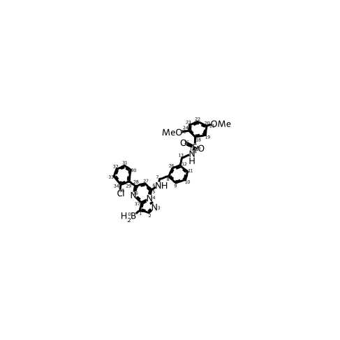 Bc1cnn2c(NCc3cccc(CNS(=O)(=O)c4cc(OC)ccc4OC)c3)cc(-c3ccccc3Cl)nc12